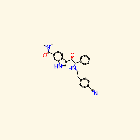 CN(C)C(=O)c1ccc2c(C(=O)C(NCCc3ccc(C#N)cc3)c3ccccc3)c[nH]c2c1